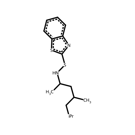 CC(C)CC(C)CC(C)NSc1nc2ccccc2s1